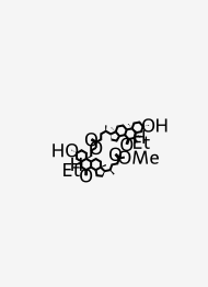 CC[C@H]1C(=O)C2C(CC[C@@]3(C)C2CC[C@@H]3[C@H](C)CCC(=O)OC)[C@@]2(CCOC(=O)CC[C@@H](C)[C@H]3CCC4C5C(=O)[C@H](CC)[C@@H]6C[C@@H](O)CC[C@]6(C)C5CC[C@@]43C)CC[C@@H](O)C[C@@H]12